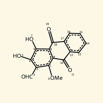 COc1c(C=O)c(O)c(O)c2c1C(=O)c1ccccc1C2=O